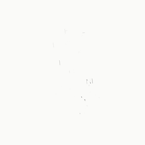 Cc1ccc(COCc2c(F)c(F)c(F)c(F)c2F)c(N2C(=N)SCC2=O)c1